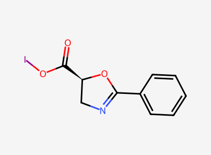 O=C(OI)[C@@H]1CN=C(c2ccccc2)O1